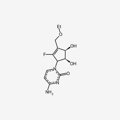 CCOCC1=C(F)C(n2ccc(N)nc2=O)[C@H](O)[C@@H]1O